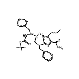 CCCc1nc(C(Cc2ccccc2)C[C@H](O)[C@H](Cc2ccccc2)NC(=O)OC(C)(C)C)sc1C(N)=O